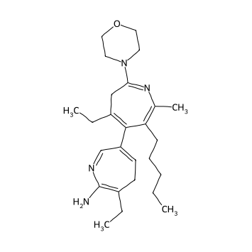 CCCCCC1=C(C)N=C(N2CCOCC2)CC(CC)=C1C1=CCC(CC)=C(N)N=C1